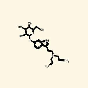 C=CCN(CC=C)CCc1c[nH]c2cc(OC3OC(CO)C(O)C(O)C3O)ccc12